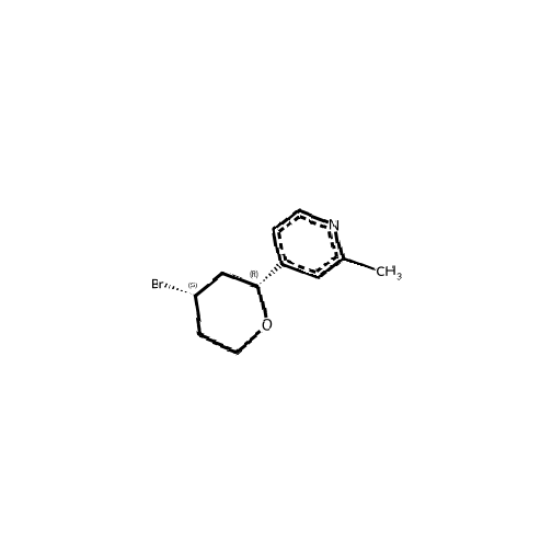 Cc1cc([C@H]2C[C@@H](Br)CCO2)ccn1